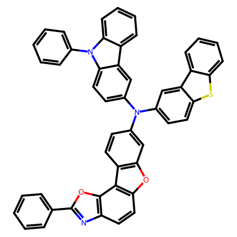 c1ccc(-c2nc3ccc4oc5cc(N(c6ccc7sc8ccccc8c7c6)c6ccc7c(c6)c6ccccc6n7-c6ccccc6)ccc5c4c3o2)cc1